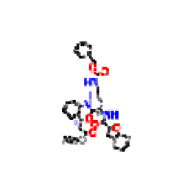 COC(=O)/C=C/c1ccccc1NC(=O)[C@H](CCCNC(=O)OCc1ccccc1)NC(=O)c1cc2ccccc2o1